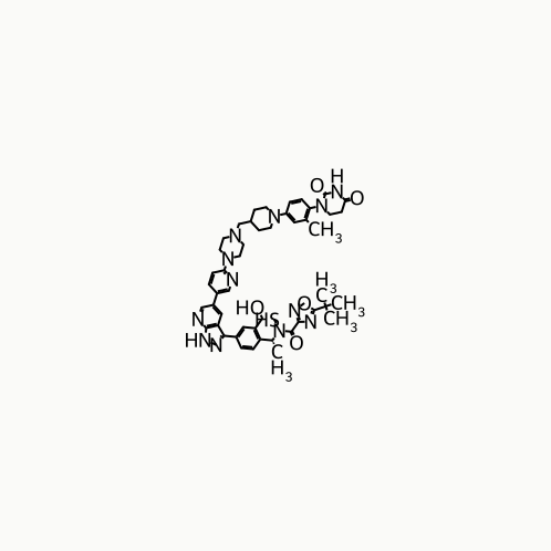 Cc1cc(N2CCC(CN3CCN(c4ccc(-c5cnc6[nH]nc(-c7ccc([C@@H](C)N(S)C(=O)c8noc(C(C)(C)C)n8)c(CO)c7)c6c5)cn4)CC3)CC2)ccc1N1CCC(=O)NC1=O